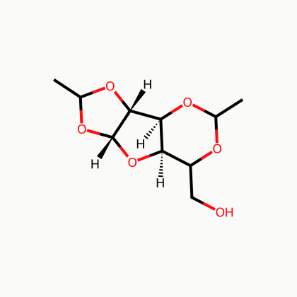 CC1OC(CO)[C@H]2O[C@@H]3OC(C)O[C@@H]3[C@H]2O1